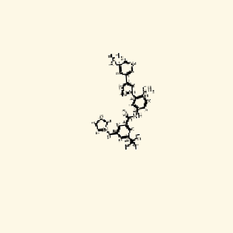 COc1cncc(-c2cn(-c3cc(NC(=O)c4cc(CN5CCCC5)cc(C(F)(F)F)c4)ccc3C)nn2)c1